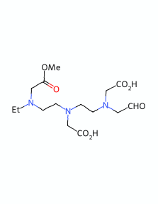 CCN(CCN(CCN(CC=O)CC(=O)O)CC(=O)O)CC(=O)OC